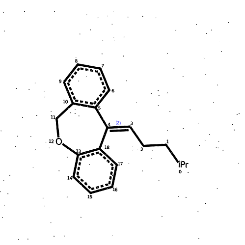 CC(C)CC/C=C1/c2ccccc2COc2ccccc21